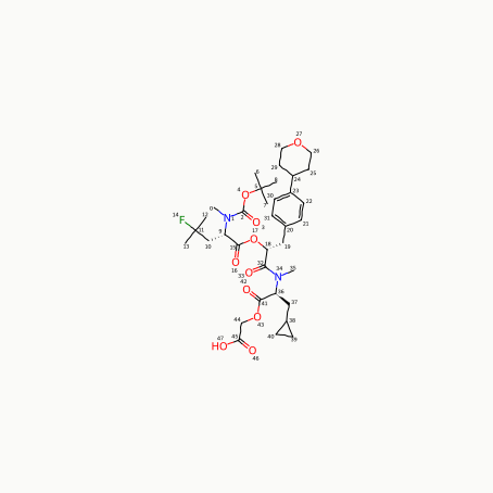 CN(C(=O)OC(C)(C)C)[C@@H](CC(C)(C)F)C(=O)O[C@H](Cc1ccc(C2CCOCC2)cc1)C(=O)N(C)[C@@H](CC1CC1)C(=O)OCC(=O)O